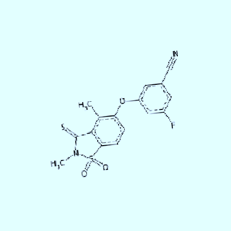 Cc1c(Oc2cc(F)cc(C#N)c2)ccc2c1C(=S)N(C)S2(=O)=O